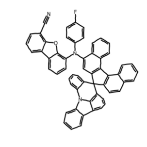 N#Cc1cccc2c1oc1c(N(c3ccc(F)cc3)c3cc4c(c5ccccc35)-c3c(ccc5ccccc35)C43c4ccccc4-n4c5ccccc5c5cccc3c54)cccc12